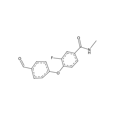 CNC(=O)c1ccc(Oc2ccc(C=O)cc2)c(F)c1